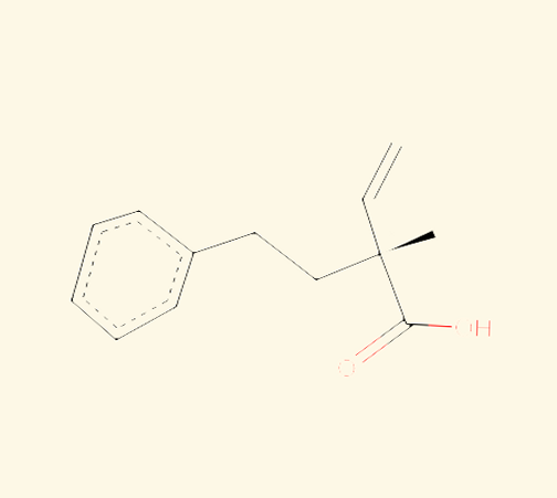 C=C[C@@](C)(CCc1ccccc1)C(=O)O